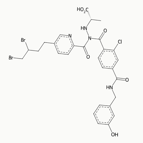 C[C@H](NN(C(=O)c1ccc(CCC(Br)CBr)cn1)C(=O)c1ccc(C(=O)NCc2cccc(O)c2)cc1Cl)C(=O)O